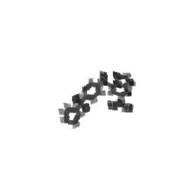 CCN(CC)c1cc(Nc2ccc(S(=O)(=O)c3ccccc3)cc2)n2ncnc2n1